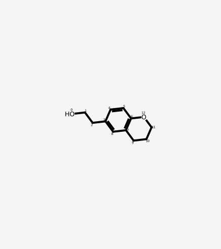 OCCc1ccc2c(c1)CCCO2